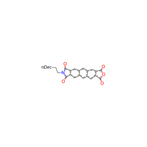 CCCCCCCCCCCCn1c(=O)c2cc3cc4cc5c(=O)oc(=O)c5cc4cc3cc2c1=O